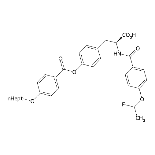 CCCCCCCOc1ccc(C(=O)Oc2ccc(C[C@H](NC(=O)c3ccc(OC(C)F)cc3)C(=O)O)cc2)cc1